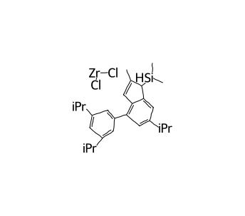 CC1=Cc2c(-c3cc(C(C)C)cc(C(C)C)c3)cc(C(C)C)cc2C1[SiH](C)C.[Cl][Zr][Cl]